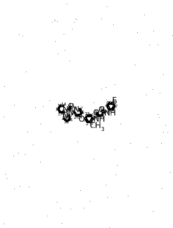 Cc1cc(Oc2ccnc(NC(=O)N3CCCCC3N3CCCC3)c2)ccc1NC(=O)CC(=O)Nc1ccc(F)cc1